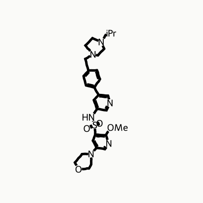 COc1ncc(N2CCOCC2)cc1S(=O)(=O)Nc1cncc(-c2ccc(CN3CCN(C(C)C)CC3)cc2)c1